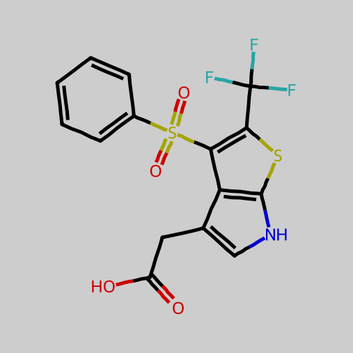 O=C(O)Cc1c[nH]c2sc(C(F)(F)F)c(S(=O)(=O)c3ccccc3)c12